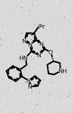 CC(C)c1cnn2c(NCc3ccccc3-n3cccn3)nc(O[C@@H]3CCCNC3)nc12